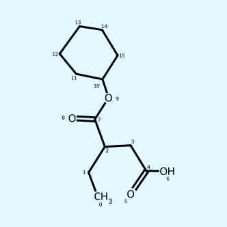 CCC(CC(=O)O)C(=O)OC1CCCCC1